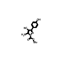 CC(C)(C)OC(=O)n1nc(-c2ccc(O)cc2)c(C#N)c1N